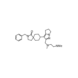 CNCCN(C)Cc1nn2c(c1C1CCC3(CC1)CCN(Cc1ccccc1)C3=O)CCC2